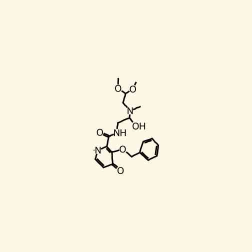 COC(CN(C)C(O)CNC(=O)C1=C(OCc2ccccc2)C(=O)C=C[N]1)OC